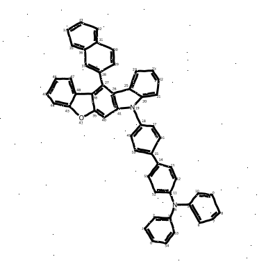 c1ccc(N(c2ccccc2)c2ccc(-c3ccc(-n4c5ccccc5c5c(-c6ccc7ccccc7c6)c6c(cc54)oc4ccccc46)cc3)cc2)cc1